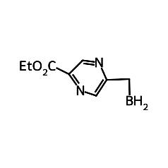 BCc1cnc(C(=O)OCC)cn1